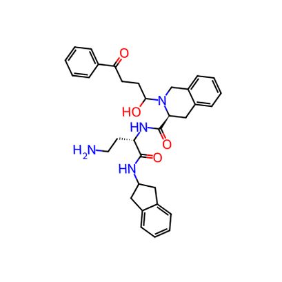 NCC[C@H](NC(=O)[C@@H]1Cc2ccccc2CN1C(O)CCC(=O)c1ccccc1)C(=O)NC1Cc2ccccc2C1